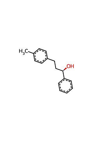 Cc1ccc(CC[C@@H](O)c2ccccc2)cc1